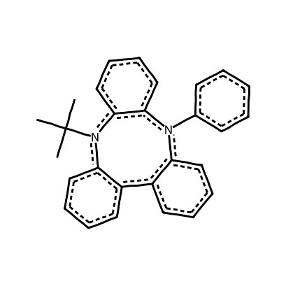 CC(C)(C)n1c2ccccc2c2ccccc2n(-c2ccccc2)c2ccccc21